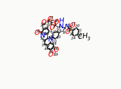 CC[C@@]1(OC(=O)CN/C(Cc2ccccc2)=N/S(=O)(=O)c2ccc(C)cc2)C(=O)OCc2c1cc1n(c2=O)Cc2cc3cc4c(cc3nc2-1)OCO4